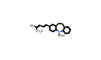 CCCCCCN1c2ccccc2CCc2cc(/C=C/C=C(/C#N)C(=O)O)ccc21